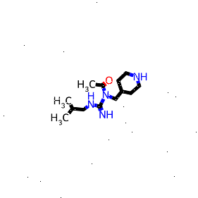 CC(=O)N(CC1CCNCC1)C(=N)NCC(C)C